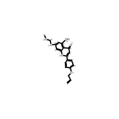 C=CCOc1ccc(-c2cc(=O)c3c(O)cc(OCOC)cc3o2)cc1